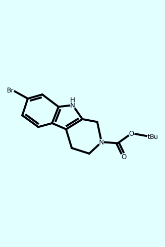 CC(C)(C)OC(=O)N1CCc2c([nH]c3cc(Br)ccc23)C1